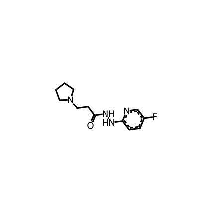 O=C(CCN1CCCC1)NNc1ccc(F)cn1